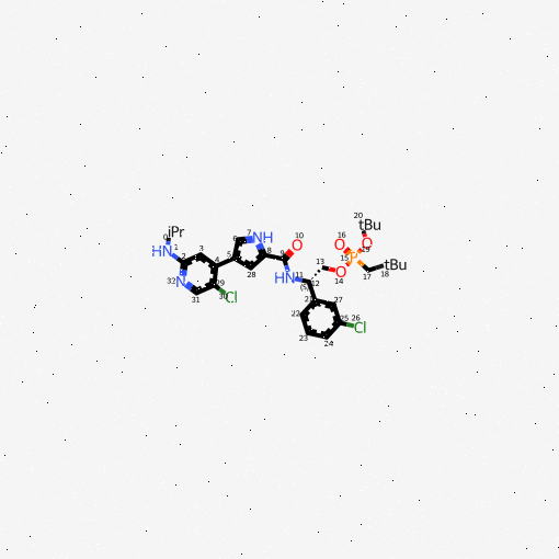 CC(C)Nc1cc(-c2c[nH]c(C(=O)N[C@H](COP(=O)(CC(C)(C)C)OC(C)(C)C)c3cccc(Cl)c3)c2)c(Cl)cn1